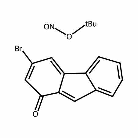 CC(C)(C)ON=O.O=C1C=C(Br)C=C2C1=Cc1ccccc12